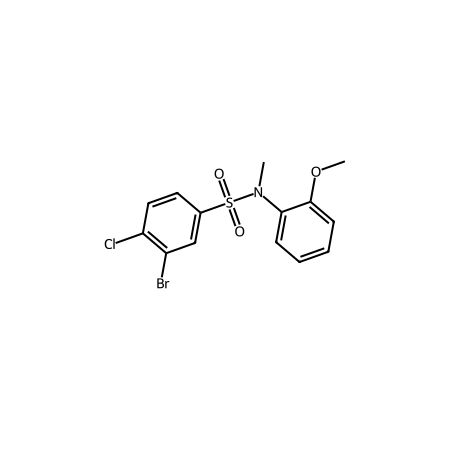 COc1ccccc1N(C)S(=O)(=O)c1ccc(Cl)c(Br)c1